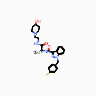 CC(C)(C)[C@H](NC(=O)c1nn(Cc2ccc(F)cc2)c2ccccc12)C(=O)NCCN1CCC(O)CC1